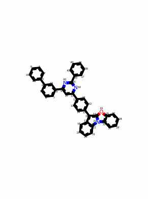 c1ccc(-c2cccc(-c3cc(-c4ccc(-c5c6ccccc6n6c5oc5ccccc56)cc4)nc(-c4ccccc4)n3)c2)cc1